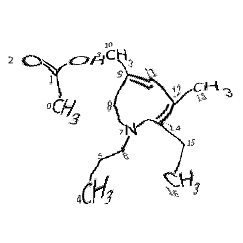 CC(=O)O.CCCN1CC(C)=CC(C)=C1CC